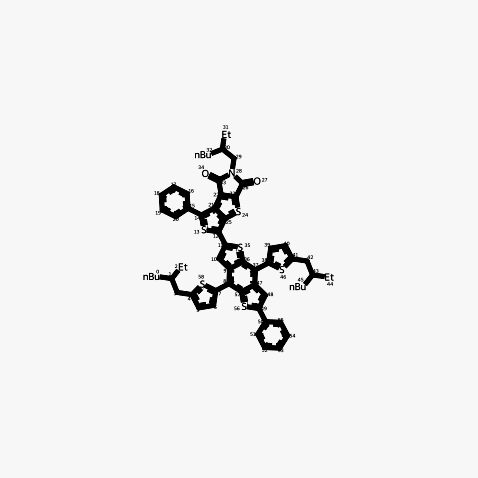 CCCCC(CC)Cc1ccc(-c2c3cc(-c4sc(-c5ccccc5)c5c6c(sc45)C(=O)N(CC(CC)CCCC)C6=O)sc3c(-c3ccc(CC(CC)CCCC)s3)c3cc(-c4ccccc4)sc23)s1